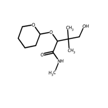 CNC(=O)C(OC1CCCCO1)C(C)(C)CO